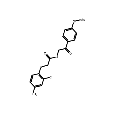 CCCCOc1ccc(C(=O)COC(=O)COc2ccc(C)cc2Cl)cc1